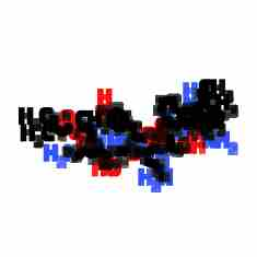 CCC(C)CC(=O)OC(C)CC(=O)N[C@H](CCCN)C(=O)N[C@@H](CO)C(=O)N[C@@H](Cc1ccc(O)cc1)C(=O)N[C@H](CCCN)C(=O)N[C@H](CO)C(=O)N[C@@H](C(=O)N1CCC[C@H]1C(=O)NC(C(=O)N1CCC[C@H]1C(N)=O)C(C)CC)C(C)CC